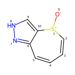 [O-][S+]1C=CC=Cc2n[nH]cc21